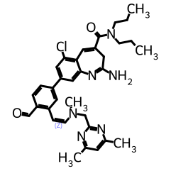 CCCN(CCC)C(=O)C1=Cc2c(Cl)cc(-c3ccc(C=O)c(/C=C\N(C)Cc4nc(C)cc(C)n4)c3)cc2N=C(N)C1